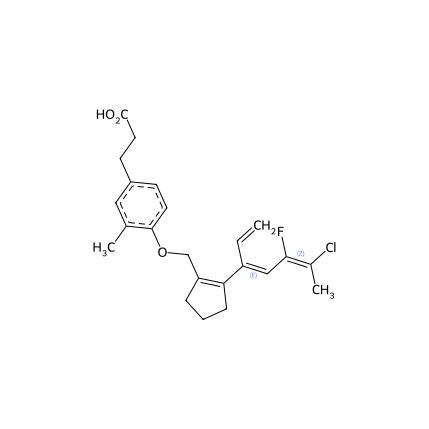 C=C/C(=C\C(F)=C(/C)Cl)C1=C(COc2ccc(CCC(=O)O)cc2C)CCC1